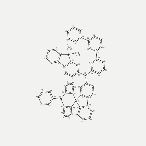 CC1(C)c2ccccc2-c2ccc(N(c3cccc(-c4cccc(-c5ccccc5)c4)c3)c3ccc4c(c3)C3(c5ccccc5-4)c4ccccc4N(c4ccccc4)c4ccccc43)cc21